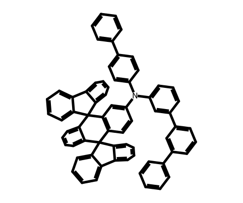 c1ccc(-c2ccc(N(c3cccc(-c4cccc(-c5ccccc5)c4)c3)c3ccc4c(c3)C3(c5ccccc5-c5ccccc53)c3ccccc3C43c4ccccc4-c4ccccc43)cc2)cc1